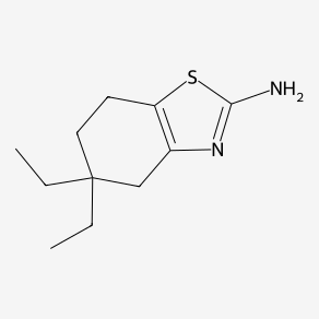 CCC1(CC)CCc2sc(N)nc2C1